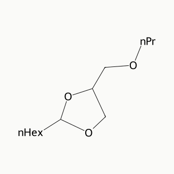 CCCCCCC1OCC(COCCC)O1